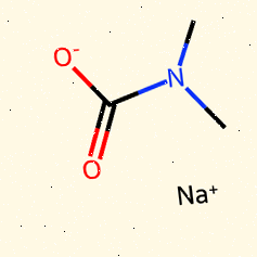 CN(C)C(=O)[O-].[Na+]